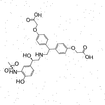 CS(=O)(=O)Nc1cc([C@@H](O)CNCC(c2ccc(OCC(=O)O)cc2)c2ccc(OCC(=O)O)cc2)ccc1O